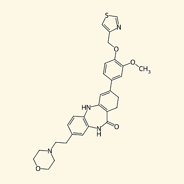 COc1cc(C2=CC3=C(CC2)C(=O)Nc2cc(CCN4CCOCC4)ccc2N3)ccc1OCc1cscn1